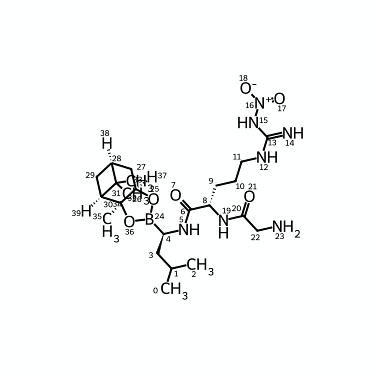 CC(C)C[C@H](NC(=O)[C@H](CCCNC(=N)N[N+](=O)[O-])NC(=O)CN)B1O[C@@H]2C[C@@H]3C[C@@H](C3(C)C)[C@]2(C)O1